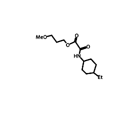 CCC1CCC(NC(=O)C(=O)OCCCOC)CC1